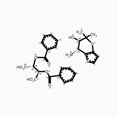 CC1(C)Oc2ccsc2[C@H](N)[C@H]1O.O=C(O[C@@H](C(=O)O)[C@@H](OC(=O)c1ccccc1)C(=O)O)c1ccccc1